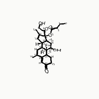 CCCC(=O)O[C@]1(C(=O)CO)C(C)C[C@H]2[C@@H]3CC(C)C4=CC(=O)CC[C@]4(C)[C@@]3(F)C(O)C[C@@]21C